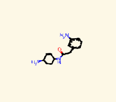 Nc1cccc(CC(=O)NC2CCC(N)CC2)c1